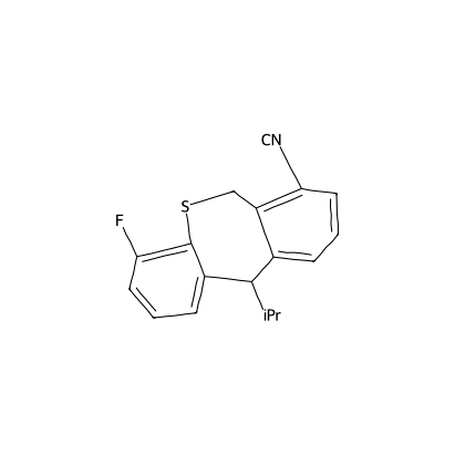 [C-]#[N+]c1cccc2c1CSc1c(F)cccc1C2C(C)C